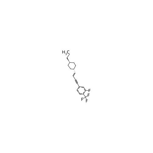 CCC[C@H]1CC[C@H](/C=C/C#Cc2ccc(C(F)(F)F)c(F)c2)CC1